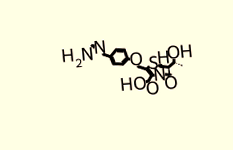 C[C@@H](O)[C@H]1C(=O)N2C(C(=O)O)=C(COc3ccc(C/N=C\N)cc3)S[C@H]12